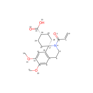 C=CC(=O)N1CCc2cc(OC)c(OC)cc2[C@]12CC[C@@H](C(=O)O)CC2